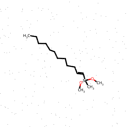 CCCCCCCCCCC=C[Si](C)(OC)OC